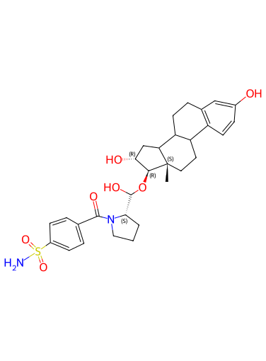 C[C@]12CCC3c4ccc(O)cc4CCC3C1C[C@@H](O)[C@@H]2OC(O)[C@@H]1CCCN1C(=O)c1ccc(S(N)(=O)=O)cc1